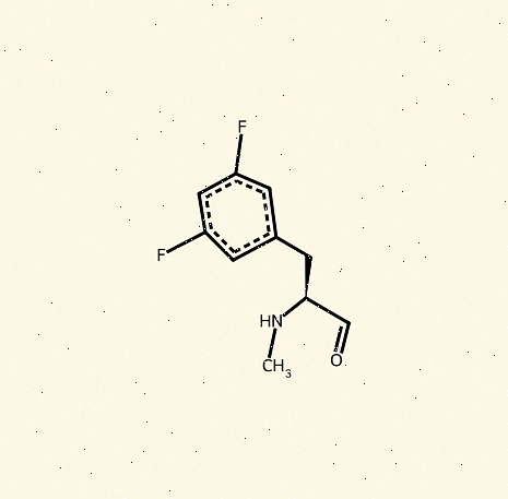 CN[C@H](C=O)Cc1cc(F)cc(F)c1